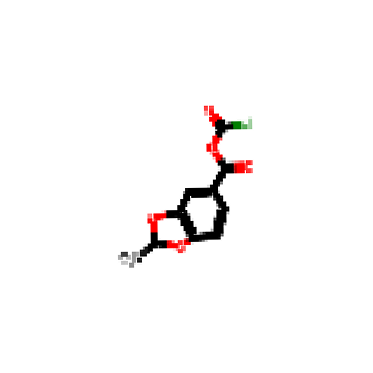 O=C(Cl)OC(=O)c1ccc2c(c1)OC([N+](=O)[O-])O2